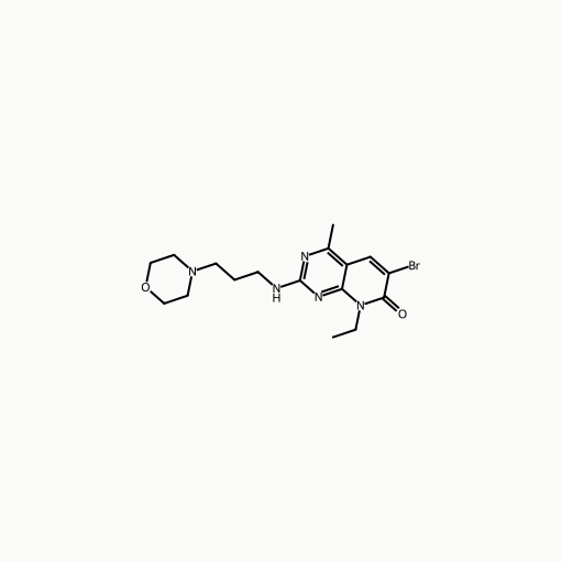 CCn1c(=O)c(Br)cc2c(C)nc(NCCCN3CCOCC3)nc21